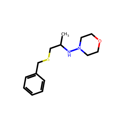 CC(CSCc1ccccc1)NN1CCOCC1